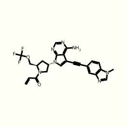 C=CC(=O)N1C[C@@H](n2cc(C#Cc3ccc4c(c3)ncn4C)c3c(N)ncnc32)C[C@@H]1COC(F)(F)F